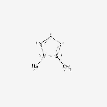 CS1=CC=NN1S